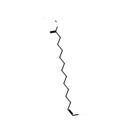 CCCCCCCC/C=C\CCCCCCCCCCCC(=O)OC(=O)O